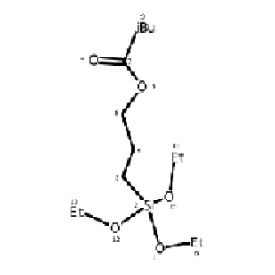 CCO[Si](CCCOC(=O)C(C)CC)(OCC)OCC